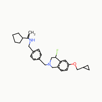 C=C(NCc1ccc(CN2Cc3ccc(OCC4CC4)cc3C(F)C2)cc1)C1CCCC1